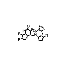 Cc1ncsc1C(=O)N(Cc1c(F)c(=O)[nH]c2c(F)c(F)ccc12)c1cccc(Cl)c1